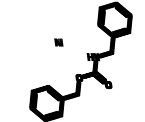 O=C(NCc1ccccc1)OCc1ccccc1.[Ni]